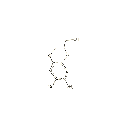 N#Cc1cc2c(cc1N)OC(CO)CO2